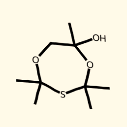 CC1(O)COC(C)(C)SC(C)(C)O1